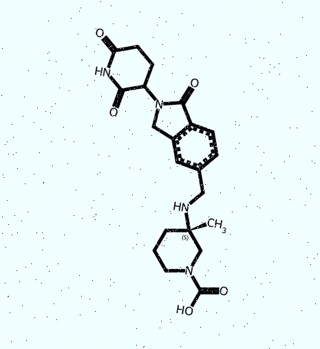 C[C@]1(NCc2ccc3c(c2)CN(C2CCC(=O)NC2=O)C3=O)CCCN(C(=O)O)C1